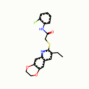 CCc1cc2cc3c(cc2nc1SCC(=O)Nc1ccccc1F)OCCO3